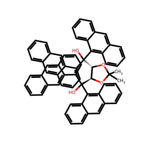 CC1(C)O[C@@H](C(O)(c2cccc3cc4ccccc4cc23)c2c3ccccc3cc3ccccc23)[C@H](C(O)(c2cccc3cc4ccccc4cc23)c2c3ccccc3cc3ccccc23)O1